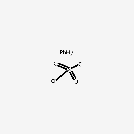 O=S(=O)(Cl)Cl.[PbH2]